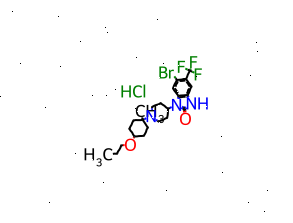 CCCOC1CCC(C)(N2CCC(n3c(=O)[nH]c4cc(C(F)(F)F)c(Br)cc43)CC2)CC1.Cl